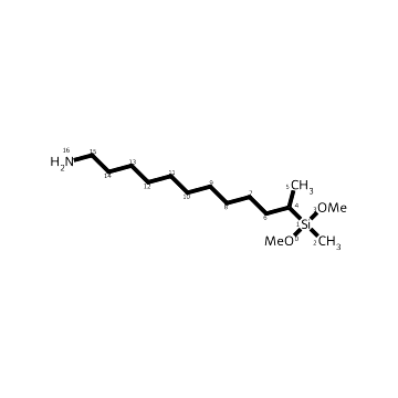 CO[Si](C)(OC)C(C)CCCCCCCCCCN